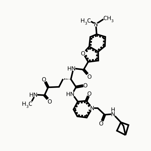 CNC(=O)C(=O)CC[C@H](NC(=O)c1cc2ccc(N(C)C)cc2o1)C(=O)Nc1cccn(CC(=O)NC23CC(C2)C3)c1=O